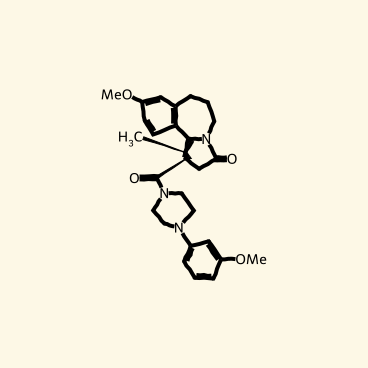 COc1cccc(N2CCN(C(=O)[C@H]3C4CC(=O)N5CCCc6cc(OC)ccc6C45C[C@@H]3C)CC2)c1